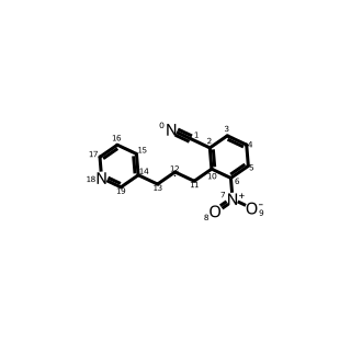 N#Cc1cccc([N+](=O)[O-])c1C[CH]Cc1cccnc1